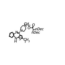 CCCCCCCCCCC(CCCCCCCCCC)C(=O)OC[N+]1(C)CCN(C2=Nc3ccccc3Nc3sc(C)cc32)CC1.[I-]